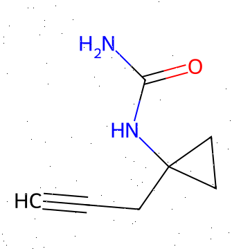 C#CCC1(NC(N)=O)CC1